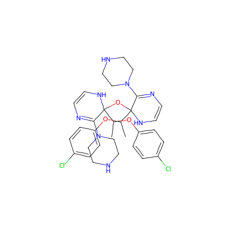 CC(Oc1ccc(Cl)cc1)C1(OC2(C(C)Oc3ccc(Cl)cc3)NC=CN=C2N2CCNCC2)NC=CN=C1N1CCNCC1